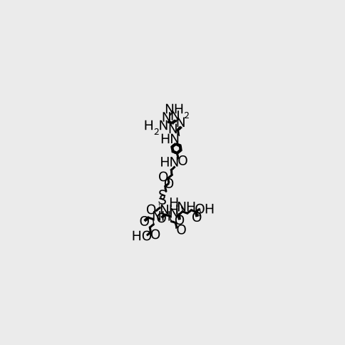 Nc1nc(N)c2nc(CNc3ccc(C(=O)NCCCC(=O)OCCSSC[C@H](NC(=O)[C@H](CCC=O)NC(=O)[C@@H](N)CCC(=O)O)C(=O)N[C@H](C=O)CCC(=O)O)cc3)cnc2n1